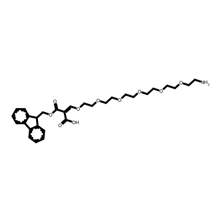 NCCOCCOCCOCCOCCOCCOC=C(C(=O)O)C(=O)OCC1c2ccccc2-c2ccccc21